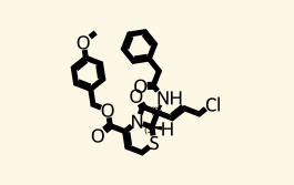 COc1ccc(COC(=O)C2=CCS[C@@H]3N2C(=O)[C@@]3(C=CCCl)NC(=O)Cc2ccccc2)cc1